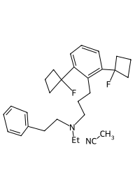 CC#N.CCN(CCCc1c(C2(F)CCC2)cccc1C1(F)CCC1)CCc1ccccc1